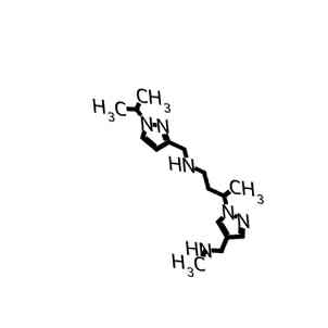 CNCc1cnn(C(C)CCNCc2ccn(C(C)C)n2)c1